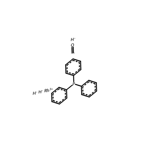 [C]=O.[H-].[H-].[H-].[Rh+3].c1ccc(P(c2ccccc2)c2ccccc2)cc1